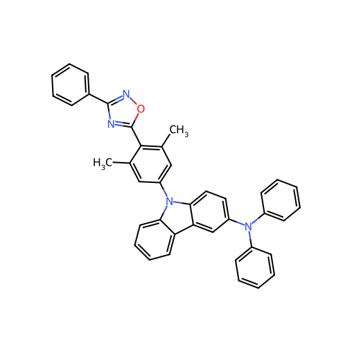 Cc1cc(-n2c3ccccc3c3cc(N(c4ccccc4)c4ccccc4)ccc32)cc(C)c1-c1nc(-c2ccccc2)no1